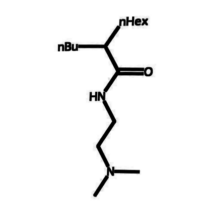 CCCCCCC(CCCC)C(=O)NCCN(C)C